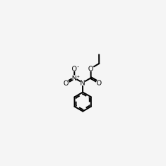 CCOC(=O)N(c1ccccc1)[N+](=O)[O-]